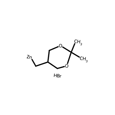 Br.CC1(C)OCC([CH2][Zn])CO1